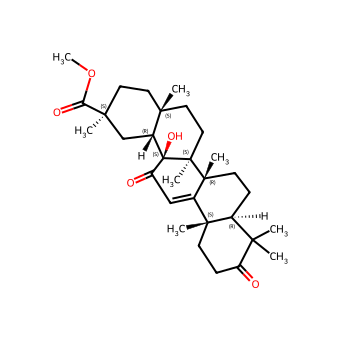 COC(=O)[C@@]1(C)CC[C@]2(C)CC[C@@]3(C)[C@]4(C)CC[C@H]5C(C)(C)C(=O)CC[C@]5(C)C4=CC(=O)[C@]3(O)[C@@H]2C1